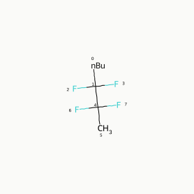 [CH2]CCCC(F)(F)C(C)(F)F